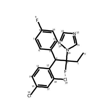 CCC(F)(C(c1ccc(F)cc1)c1ccc(Cl)cc1Cl)n1cncn1